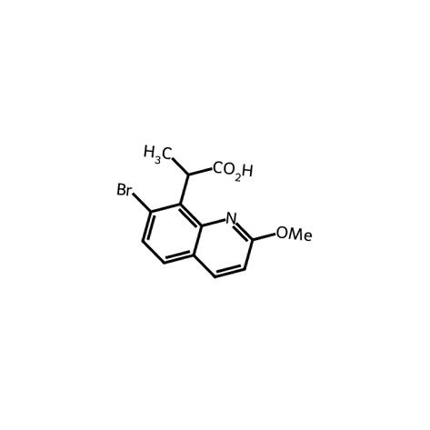 COc1ccc2ccc(Br)c(C(C)C(=O)O)c2n1